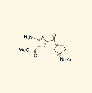 COC(=O)c1cc(C(=O)N2CC[C@H](NC(C)=O)C2)sc1N